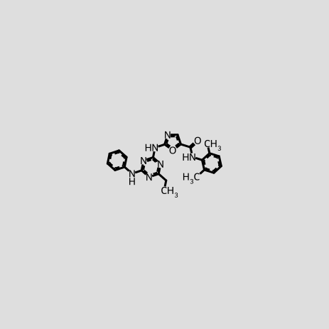 CCc1nc(Nc2ccccc2)nc(Nc2ncc(C(=O)Nc3c(C)cccc3C)o2)n1